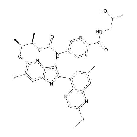 COc1cnc2c(-c3nc4cc(F)c(O[C@@H](C)[C@@H](C)OC(=O)Nc5cnc(C(=O)NC[C@@H](C)O)nc5)nc4s3)cc(C)cc2n1